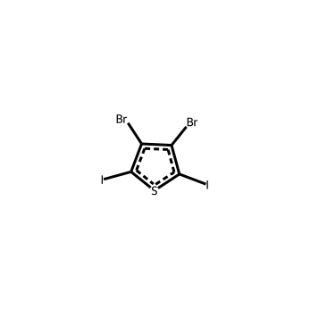 Brc1c(I)sc(I)c1Br